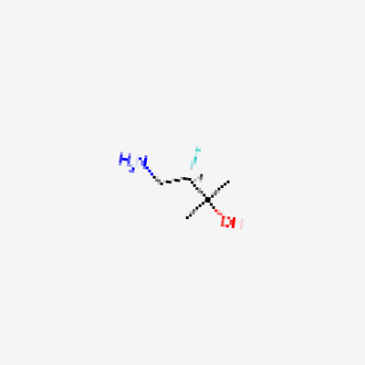 CC(C)(O)[C@@H](F)CN